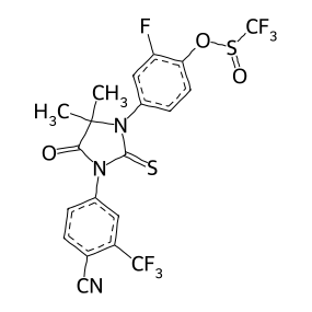 CC1(C)C(=O)N(c2ccc(C#N)c(C(F)(F)F)c2)C(=S)N1c1ccc(OS(=O)C(F)(F)F)c(F)c1